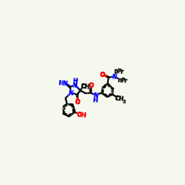 CCCN(CCC)C(=O)c1cc(C)cc(NC(=O)CC2(C)NC(=N)N(Cc3cccc(O)c3)C2=O)c1